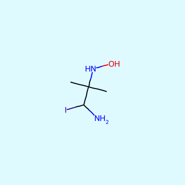 CC(C)(NO)C(N)I